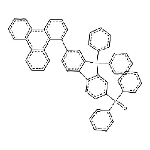 O=P(c1ccccc1)(c1ccccc1)c1ccc2c(c1)C(c1ccccc1)(c1ccccc1)c1cc(-c3cccc4c5ccccc5c5ccccc5c34)ccc1-2